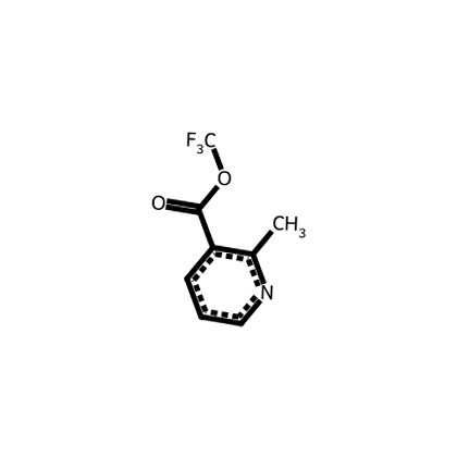 Cc1ncccc1C(=O)OC(F)(F)F